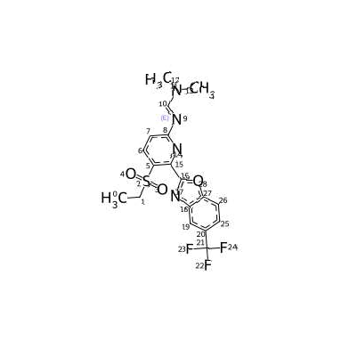 CCS(=O)(=O)c1ccc(/N=C/N(C)C)nc1-c1nc2cc(C(F)(F)F)ccc2o1